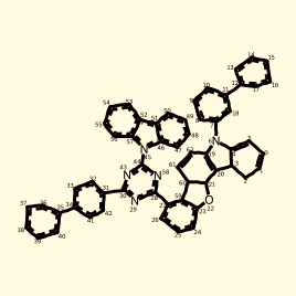 C1=CCC2C(=C1)N(c1cccc(-c3ccccc3)c1)C1=C2C2Oc3cccc(-c4nc(-c5ccc(-c6ccccc6)cc5)nc(-n5c6ccccc6c6ccccc65)n4)c3C2C=C1